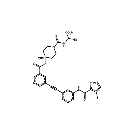 CCC(NC(=O)N1CCS(=O)(=NC(=O)c2cncc(C#Cc3cccc(NC(=O)c4occc4C)c3)c2)CC1)C(=O)O